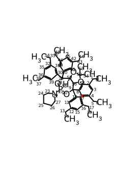 CCc1cc(CC)cc(C2(c3cc(CC)cc(CC)c3)OP(N3CCCCC3)OC(c3cc(CC)cc(CC)c3)(c3cc(CC)cc(CC)c3)[C@@H]3OC(C)(C)OC32)c1